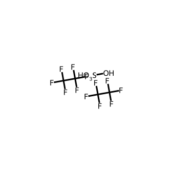 FC(F)(F)C(F)(F)F.FC(F)(F)C(F)(F)F.O=S(=O)(O)O